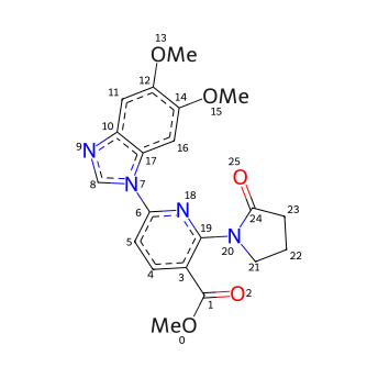 COC(=O)c1ccc(-n2cnc3cc(OC)c(OC)cc32)nc1N1CCCC1=O